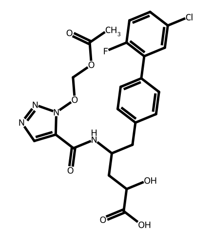 CC(=O)OCOn1nncc1C(=O)NC(Cc1ccc(-c2cc(Cl)ccc2F)cc1)CC(O)C(=O)O